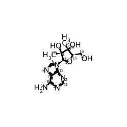 C[C@]1(O)[C@H](n2cnc3c(N)ncnc32)O[C@H](CO)[C@@]1(C)O